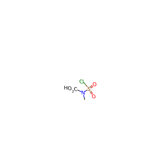 CN(C(=O)O)S(=O)(=O)Cl